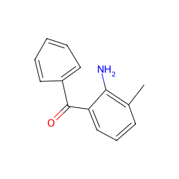 Cc1cccc(C(=O)c2ccccc2)c1N